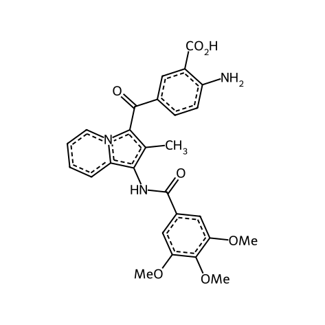 COc1cc(C(=O)Nc2c(C)c(C(=O)c3ccc(N)c(C(=O)O)c3)n3ccccc23)cc(OC)c1OC